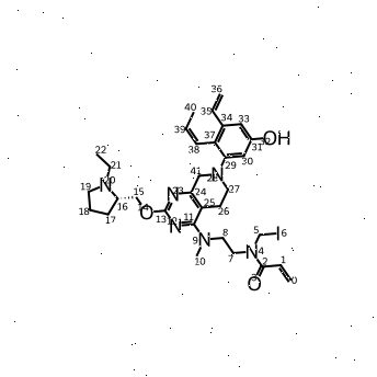 C=CC(=O)N(CI)CCN(C)c1nc(OC[C@@H]2CCCN2CC)nc2c1CCN(c1cc(O)cc(C=C)c1/C=C\C)C2